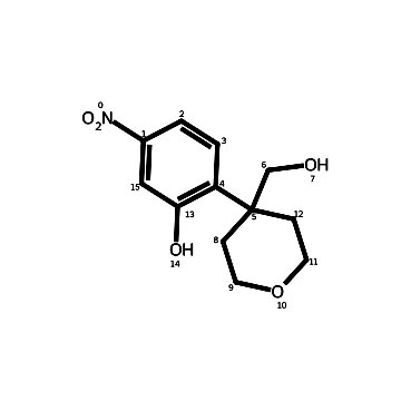 O=[N+]([O-])c1ccc(C2(CO)CCOCC2)c(O)c1